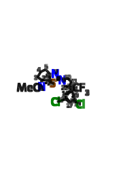 CON=C1CCCc2nc(N3CCC(c4cc(Cl)cc(Cl)c4)(C(F)(F)F)C3)sc21